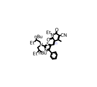 CCCCC(CC)CN(CC(CC)CCCC)c1nc(-c2ccccc2)c(/C=C2\C(=O)N(CC)C(=O)C(C#N)=C2C)s1